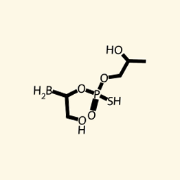 BC(CO)OP(=O)(S)OCC(C)O